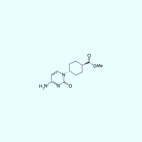 COC(=O)[C@H]1CC[C@H](n2ccc(N)nc2=O)CC1